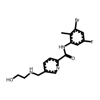 Cc1c(Br)cc(F)cc1NC(=O)c1ccc(CNCCO)cn1